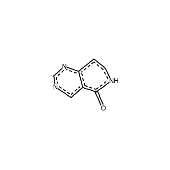 O=c1[nH]ccc2n[c]ncc12